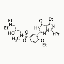 CCCc1nc(CC)c2c(=O)[nH]c(-c3cc(S(=O)(=O)N(C)CC(O)CN(CC)CC)ccc3OCC)nn12